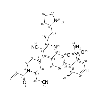 C=CC(=O)N1CCN(c2c(C#N)c(OCC3CCCN3C)nc3c2CCN(c2c(F)cccc2S(N)(=O)=O)C3)CC1CC#N